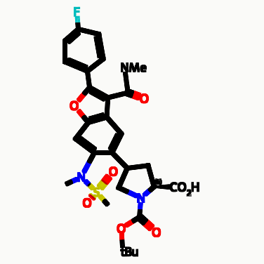 CNC(=O)c1c(-c2ccc(F)cc2)oc2cc(N(C)S(C)(=O)=O)c(C3C[C@@H](C(=O)O)N(C(=O)OC(C)(C)C)C3)cc12